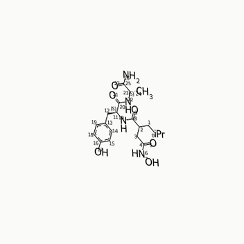 CC(C)CC(CC(=O)NO)C(=O)N[C@@H](Cc1ccc(O)cc1)C(=O)N[C@@H](C)C(N)=O